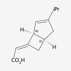 CC(C)C1=C[C@@H]2C(=CC(=O)O)C[C@@H]2C1